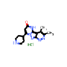 Cc1nnc2nn3c(C4CCNCC4)cc(=O)[nH]c3c2c1C.Cl